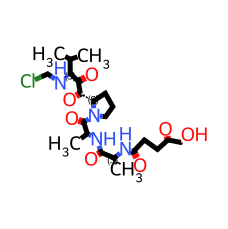 CC(NC(=O)[C@H](C)NC(=O)CCC(=O)CO)C(=O)N1CCC[C@H]1C(=O)C(=O)[C@@H](NCCl)C(C)C